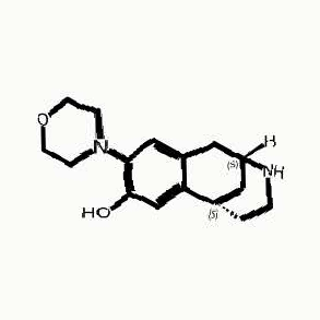 Oc1cc2c(cc1N1CCOCC1)C[C@@H]1NCC[C@]23CCCCC13